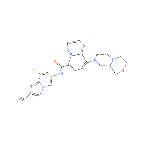 Cc1cn2cc(NC(=O)c3ccc(N4CCN5CCOCC5C4)c4nccnc34)cc(F)c2n1